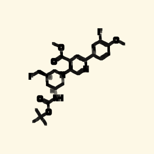 COC(=O)c1cc(-c2ccc(OC)c(F)c2)ncc1N1C[C@H](CF)C[C@@H](NC(=O)OC(C)(C)C)C1